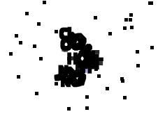 COc1cc(C(C)(C)CC(O)(/C=N/c2cccc3nc(C)ncc23)C(F)(F)F)ccc1Cl